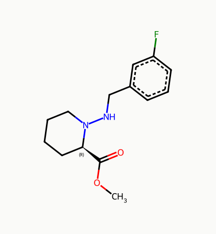 COC(=O)[C@H]1CCCCN1NCc1cccc(F)c1